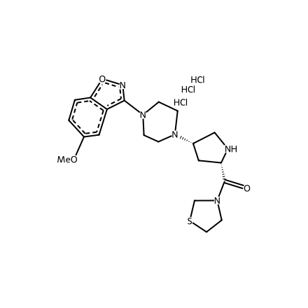 COc1ccc2onc(N3CCN([C@@H]4CN[C@H](C(=O)N5CCSC5)C4)CC3)c2c1.Cl.Cl.Cl